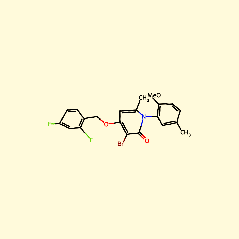 COc1ccc(C)cc1-n1c(C)cc(OCc2ccc(F)cc2F)c(Br)c1=O